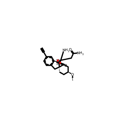 C#Cc1ccc2c(c1)[C@]1(N=C(N)N(CC(N)=O)C1=O)[C@]1(CC[C@H](OI)CC1)C2